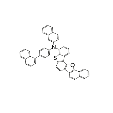 c1ccc2cc(N(c3ccc(-c4cccc5ccccc45)cc3)c3cccc4c3sc3ccc5c6ccc7ccccc7c6oc5c34)ccc2c1